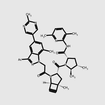 CC(=O)c1nn(CC(=O)N2[C@H](C(=O)N3[C@H](C)[C@@H](C)C[C@H]3C(=O)Nc3nc(C)ccc3C)C[C@@]3(C)C#C[C@@H]23)c2c(C)cc(-c3cnc(C)nc3)cc12